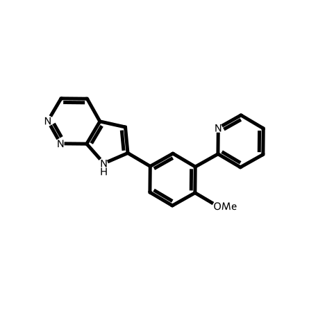 COc1ccc(-c2cc3ccnnc3[nH]2)cc1-c1ccccn1